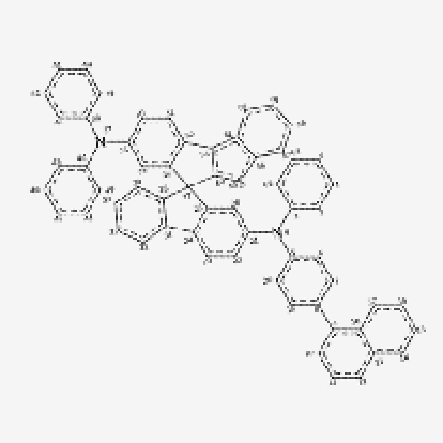 c1ccc(N(c2ccc(-c3cccc4ccccc34)cc2)c2ccc3c(c2)C2(c4ccccc4-3)c3cc(N(c4ccccc4)c4ccccc4)ccc3-c3c2sc2ccccc32)cc1